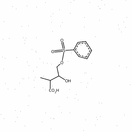 CC(C(=O)O)C(O)COS(=O)(=O)c1ccccc1